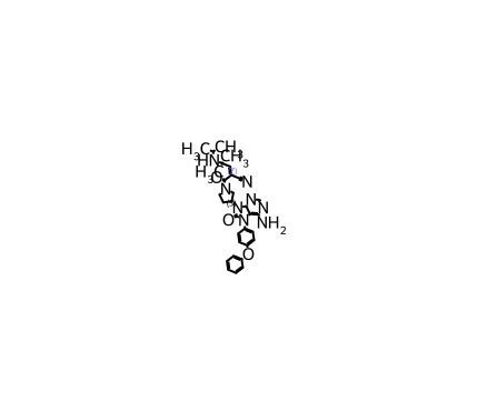 CC(C)NC(C)(C)/C=C(/C#N)C(=O)N1CC[C@H](n2c(=O)n(-c3ccc(Oc4ccccc4)cc3)c3c(N)ncnc32)C1